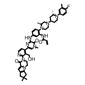 C=CC(=O)Nc1cc(Nc2nc(-c3ccnc(N4CCn5c(cc6c5CC(C)(C)C6)C4=O)c3CO)cn(C)c2=O)ccc1N1CCN(C2CCN(c3ccc(F)c(C)c3)[C@@H](C)C2)C[C@@H]1C